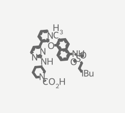 CCC(C)CCS(=O)(=O)Nc1cccc2c(Oc3ncccc3-c3ccnc(N[C@H]4CCCN(C(=O)O)C4)n3)c(C)ccc12